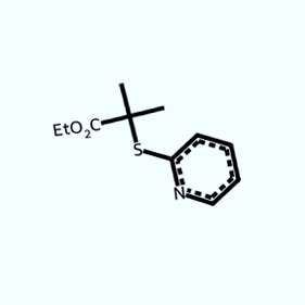 CCOC(=O)C(C)(C)Sc1ccccn1